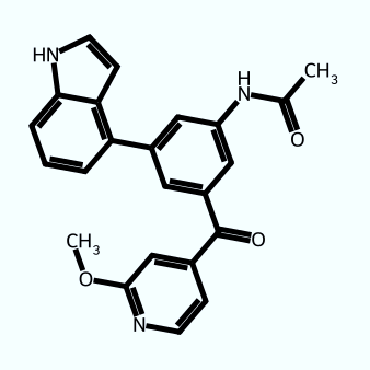 COc1cc(C(=O)c2cc(NC(C)=O)cc(-c3cccc4[nH]ccc34)c2)ccn1